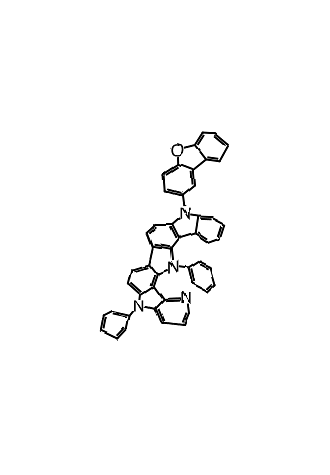 c1ccc(-n2c3cccnc3c3c2ccc2c4ccc5c(c6ccccc6n5-c5ccc6oc7ccccc7c6c5)c4n(-c4ccccc4)c23)cc1